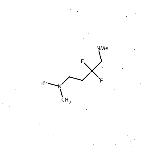 CNCC(F)(F)CCN(C)C(C)C